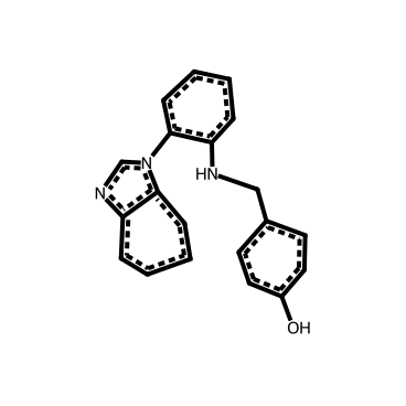 Oc1ccc(CNc2ccccc2-n2cnc3ccccc32)cc1